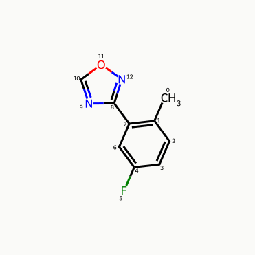 Cc1ccc(F)cc1-c1ncon1